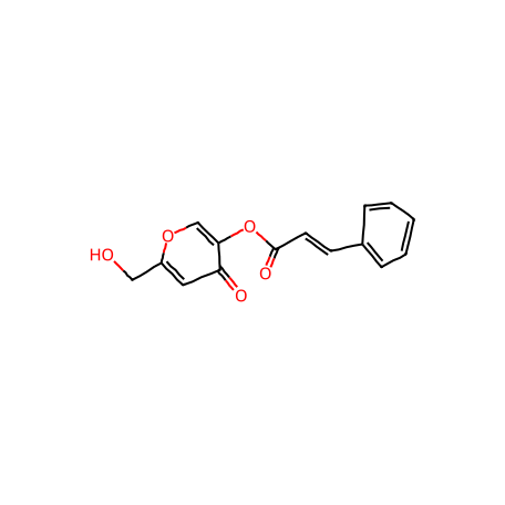 O=C(C=Cc1ccccc1)Oc1coc(CO)cc1=O